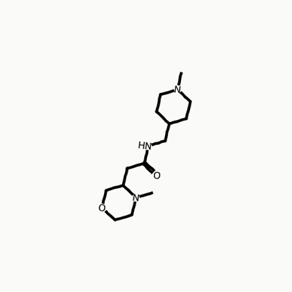 CN1CCC(CNC(=O)CC2COCCN2C)CC1